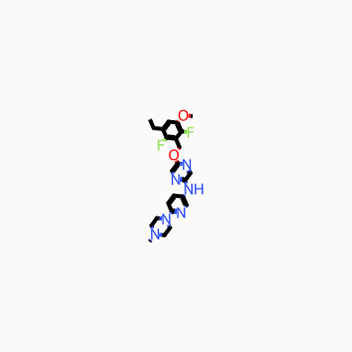 CCc1cc(OC)c(F)c(COc2cnc(Nc3ccc(N4CCN(C)CC4)nc3)cn2)c1F